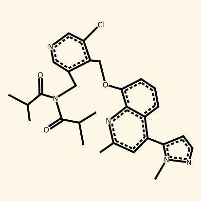 Cc1cc(-c2ccnn2C)c2cccc(OCc3c(Cl)cncc3CN(C(=O)C(C)C)C(=O)C(C)C)c2n1